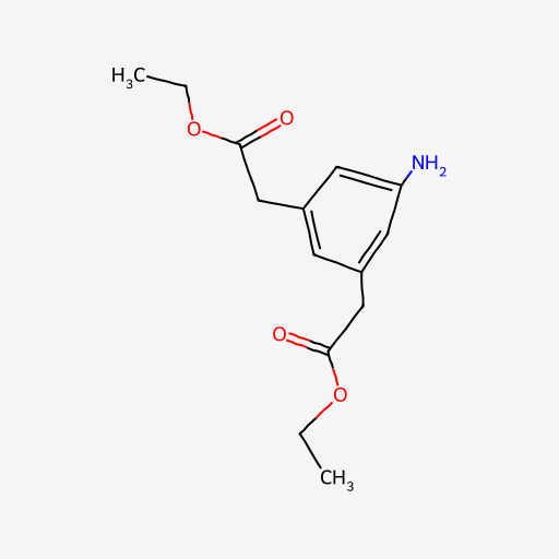 CCOC(=O)Cc1cc(N)cc(CC(=O)OCC)c1